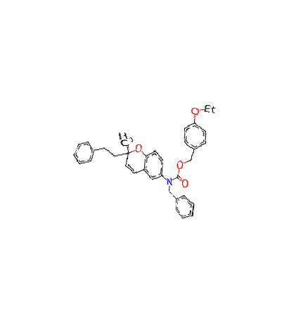 CCOc1ccc(COC(=O)N(Cc2ccccc2)c2ccc3c(c2)C=CC(C)(CCc2ccccc2)O3)cc1